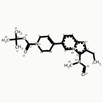 CCc1nc2ccc(C3=CCN(C(=O)OC(C)(C)C)CC3)cn2c1N(C)C=O